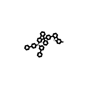 Fc1ccc2oc3c(-c4ccc(C5(c6ccccc6)c6ccccc6-c6ccc(N(c7ccc(-c8ccccc8)cc7)c7cccc(-c8ccccc8)c7)cc65)cc4)cccc3c2c1